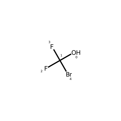 OC(F)(F)Br